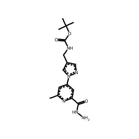 Cc1cc(-n2cc(CNC(=O)OC(C)(C)C)cn2)cc(C(=O)NN)n1